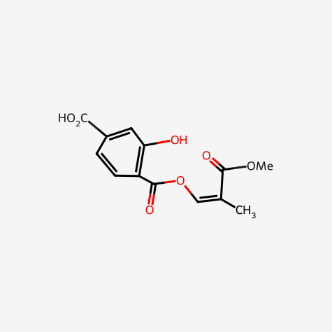 COC(=O)C(C)=COC(=O)c1ccc(C(=O)O)cc1O